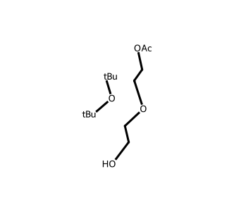 CC(=O)OCCOCCO.CC(C)(C)OC(C)(C)C